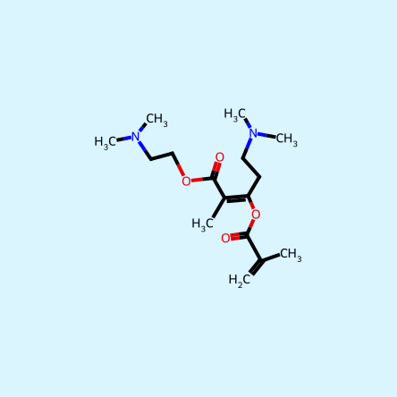 C=C(C)C(=O)OC(CCN(C)C)=C(C)C(=O)OCCN(C)C